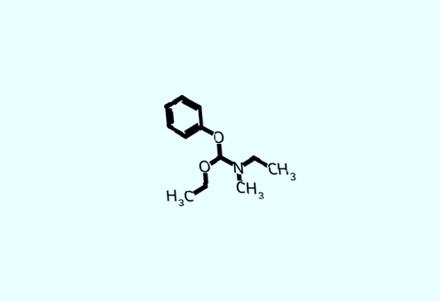 CCOC(Oc1ccccc1)N(C)CC